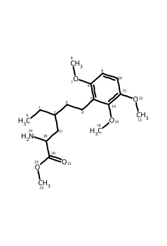 CCC(CCc1c(OC)ccc(OC)c1OC)CC(N)C(=O)OC